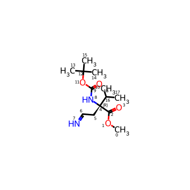 COC(=O)[C@](CC=N)(NC(=O)OC(C)(C)C)C(C)C